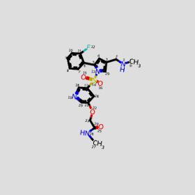 CNCc1cc(-c2ccccc2F)n(S(=O)(=O)c2cncc(OCC(=O)NC)c2)c1